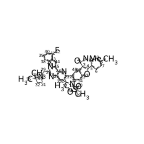 CNC(=O)c1c(-c2ccc(C)cc2)oc2cc(N(C)S(C)(=O)=O)c(-c3ccc4nc(CN5CCC5(C)C)n5c6cccc(F)c6cc5c4n3)cc12